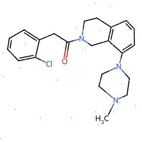 CN1CCN(c2cccc3c2CN(C(=O)Cc2ccccc2Cl)CC3)CC1